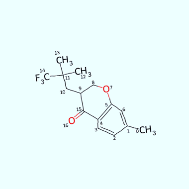 Cc1ccc2c(c1)OCC(CC(C)(C)C(F)(F)F)C2=O